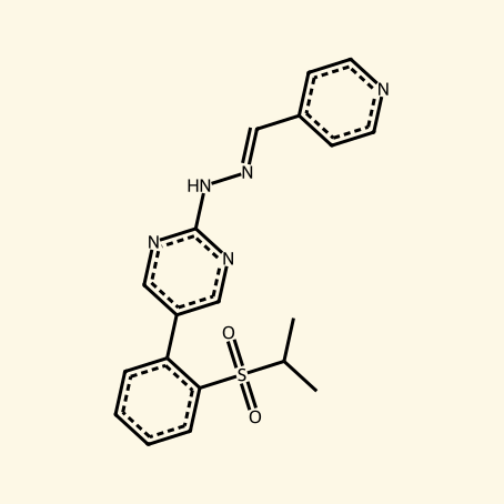 CC(C)S(=O)(=O)c1ccccc1-c1cnc(N/N=C/c2ccncc2)nc1